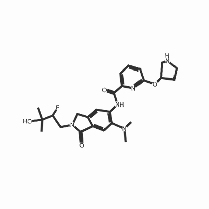 CN(C)c1cc2c(cc1NC(=O)c1cccc(OC3CCNC3)n1)CN(CC(F)C(C)(C)O)C2=O